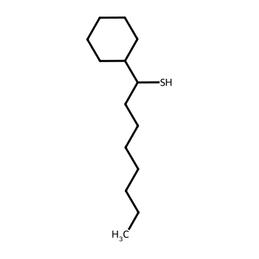 CCCCCCCC(S)C1CCCCC1